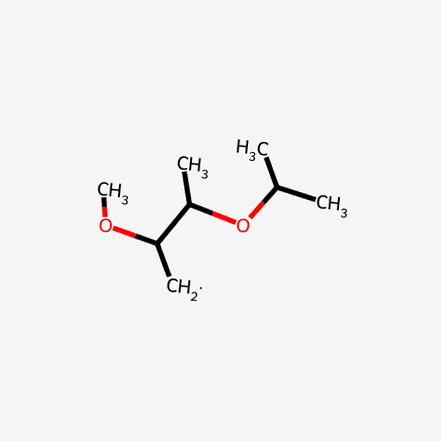 [CH2]C(OC)C(C)OC(C)C